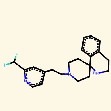 FC(F)c1cc(CCN2CCC3(CC2)NCCc2ccccc23)ccn1